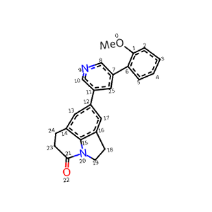 COc1ccccc1-c1cncc(-c2cc3c4c(c2)CCN4C(=O)CC3)c1